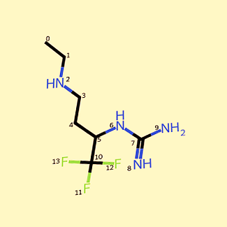 CCNCCC(NC(=N)N)C(F)(F)F